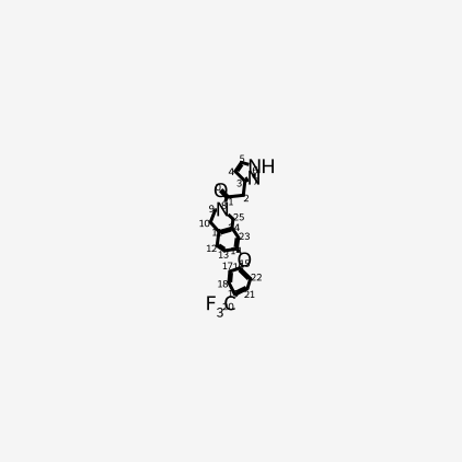 O=C(Cc1cc[nH]n1)N1CCc2ccc(Oc3ccc(C(F)(F)F)cc3)cc2C1